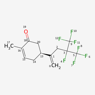 C=C(CC(F)(C(F)(F)F)C(F)(F)F)[C@H]1CC=C(C)C(=O)C1